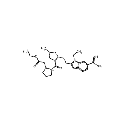 CCOC(=O)CN1CCC[C@@H]1C(=O)N1CC(C)CC1CCc1cc2ccc(C(=N)N)cc2n1CC